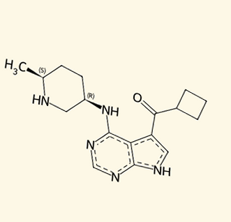 C[C@H]1CC[C@@H](Nc2ncnc3[nH]cc(C(=O)C4CCC4)c23)CN1